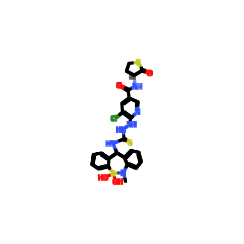 CN1c2ccccc2C(NC(=S)NNc2ncc(C(=O)N[C@@H]3CCSC3=O)cc2Cl)c2ccccc2S1(O)O